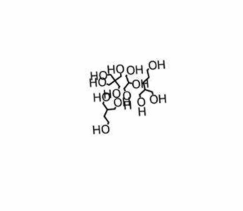 OCC(CO)(CO)CO.OCC(O)CO.OCCC(CO)CO.OCCCC(CO)CO